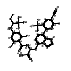 CCC(Nc1cc(F)c(C(=O)NC(Cc2ccc(-c3nc(C)c(C#N)cc3C(F)(F)F)c3nccn23)C(=O)O)c(F)c1)C(F)(F)F